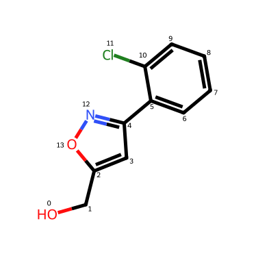 OCc1cc(-c2ccccc2Cl)no1